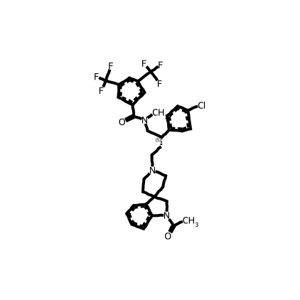 CC(=O)N1CC2(CCN(CC[C@H](CN(C)C(=O)c3cc(C(F)(F)F)cc(C(F)(F)F)c3)c3ccc(Cl)cc3)CC2)c2ccccc21